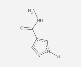 CCn1cc(C(=O)NN)cn1